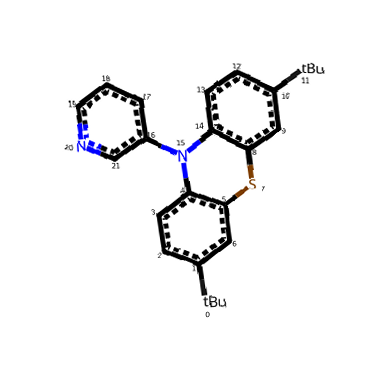 CC(C)(C)c1ccc2c(c1)Sc1cc(C(C)(C)C)ccc1N2c1cccnc1